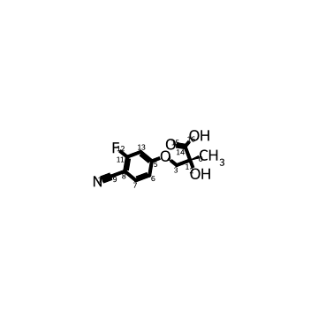 C[C@@](O)(COc1ccc(C#N)c(F)c1)C(=O)O